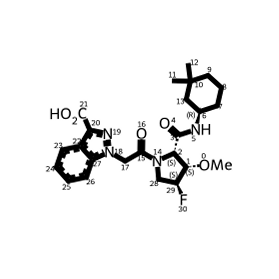 CO[C@H]1[C@@H](C(=O)N[C@@H]2CCCC(C)(C)C2)N(C(=O)Cn2nc(C(=O)O)c3ccccc32)C[C@@H]1F